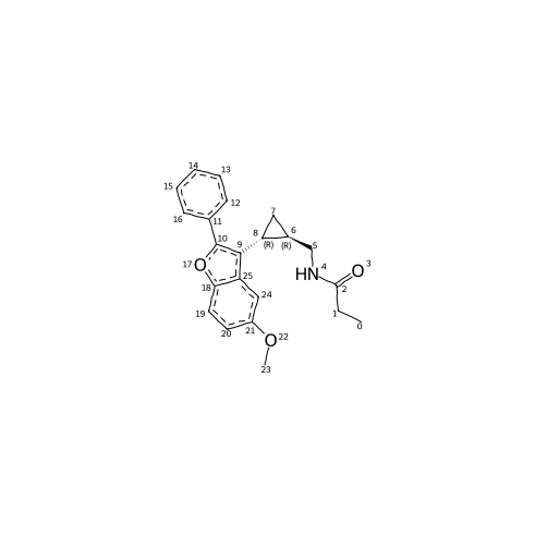 CCC(=O)NC[C@@H]1C[C@H]1c1c(-c2ccccc2)oc2ccc(OC)cc12